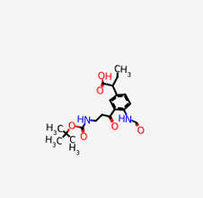 CCC(C(=O)O)c1ccc(NC=O)c(C(=O)CCNC(=O)OC(C)(C)C)c1